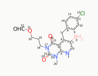 Bc1cnc2c(c1Cc1ccc(Cl)cc1)c(=O)n(CCCOC=O)c(=O)n2C